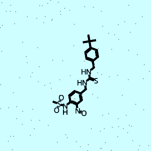 CC(C)(C)c1ccc(CNC(=S)NCc2ccc(NS(C)(=O)=O)c(N=O)c2)cc1